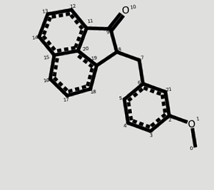 COc1cccc(CC2C(=O)c3cccc4cccc2c34)c1